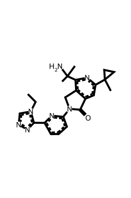 CCn1cnnc1-c1cccc(N2Cc3c(cc(C4(C)CC4)nc3C(C)(C)N)C2=O)n1